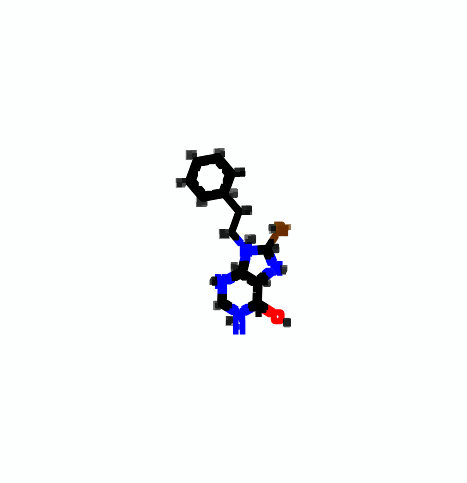 O=c1[nH]cnc2c1nc(Br)n2CCc1ccccc1